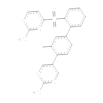 Nc1ncc(-c2ccc(-c3ccccc3S(=O)(=O)c3ccnc(N)n3)cc2F)cn1